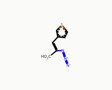 [N-]=[N+]=N/C(=C\c1ccsc1)C(=O)O